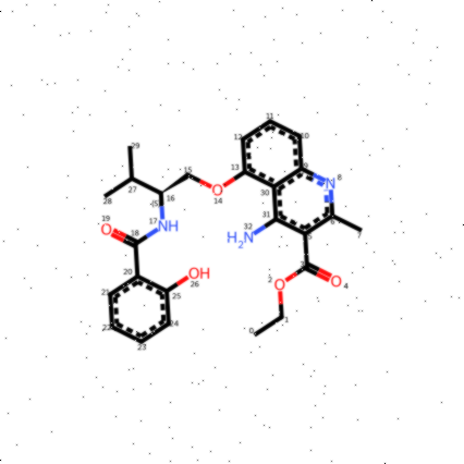 CCOC(=O)c1c(C)nc2cccc(OC[C@@H](NC(=O)c3ccccc3O)C(C)C)c2c1N